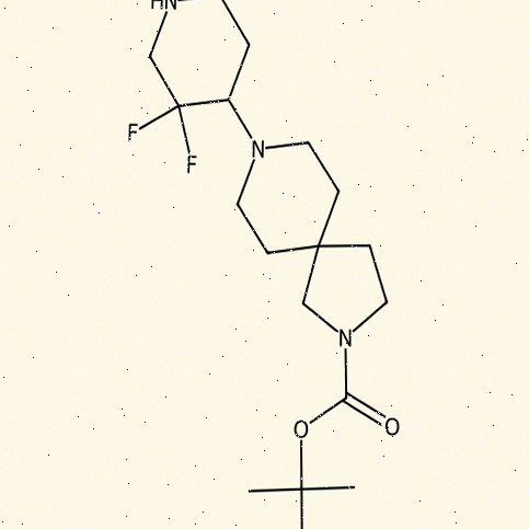 CC(C)(C)OC(=O)N1CCC2(CCN(C3CCNCC3(F)F)CC2)C1